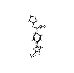 O=CN(CC1CCCO1)c1ccc(-c2noc(C(F)(F)F)n2)cc1